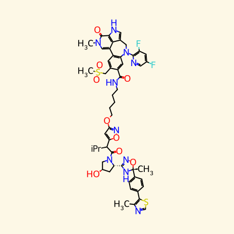 Cc1ncsc1-c1ccc([C@]2(C)NC([C@@H]3C[C@@H](O)CN3C(=O)C(c3cc(OCCCCCNC(=O)c4cc5c(cc4CS(C)(=O)=O)-c4cn(C)c(=O)c6[nH]cc(c46)CN5c4ncc(F)cc4F)no3)C(C)C)=NO2)cc1